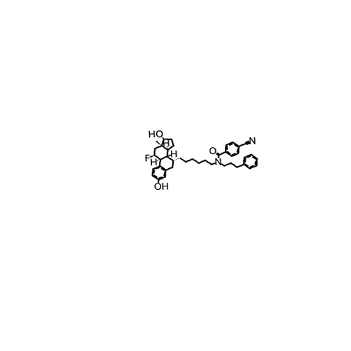 C[C@]12C[C@H](F)[C@@H]3c4ccc(O)cc4C[C@@H](CCCCCCN(CCCc4ccccc4)C(=O)c4ccc(C#N)cc4)[C@H]3[C@@H]1CC[C@@H]2O